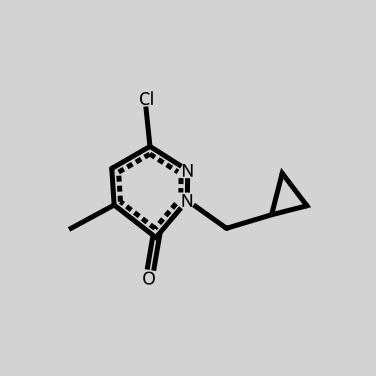 Cc1cc(Cl)nn(CC2CC2)c1=O